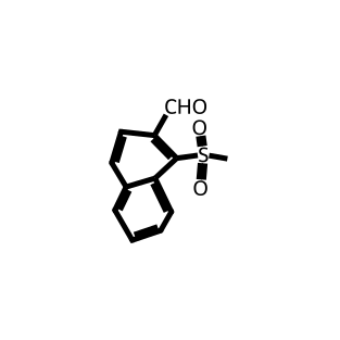 CS(=O)(=O)c1c(C=O)ccc2ccccc12